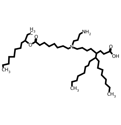 CCCCCCCCC(CC)OC(=O)CCCCCCCN(CCCN)CCCCC(CCC(=O)O)C(CCCCCCCC)CCCCCCCC